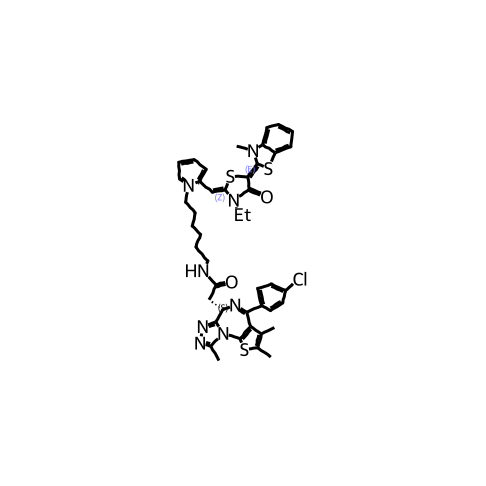 CCn1c(=O)/c(=C2\Sc3ccccc3N2C)s/c1=C\c1cccc[n+]1CCCCCCNC(=O)C[C@@H]1N=C(c2ccc(Cl)cc2)c2c(sc(C)c2C)-n2c(C)nnc21